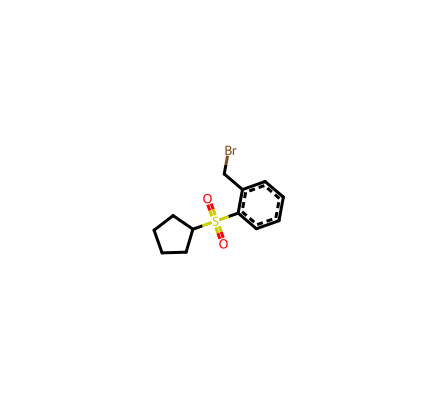 O=S(=O)(c1ccccc1CBr)C1CCCC1